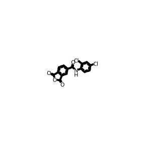 O=C(Nc1ccc(Cl)cc1Cl)c1ccc2c(c1)C(=O)OC2=O